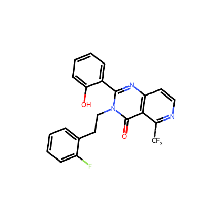 O=c1c2c(C(F)(F)F)nccc2nc(-c2ccccc2O)n1CCc1ccccc1F